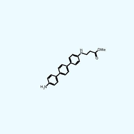 COC(=O)CCNc1ccc(-c2ccc(-c3ccc(N)cc3)cc2)cc1